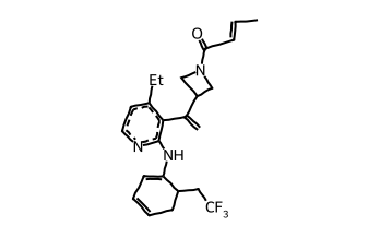 C=C(c1c(CC)ccnc1NC1=CC=CCC1CC(F)(F)F)C1CN(C(=O)/C=C/C)C1